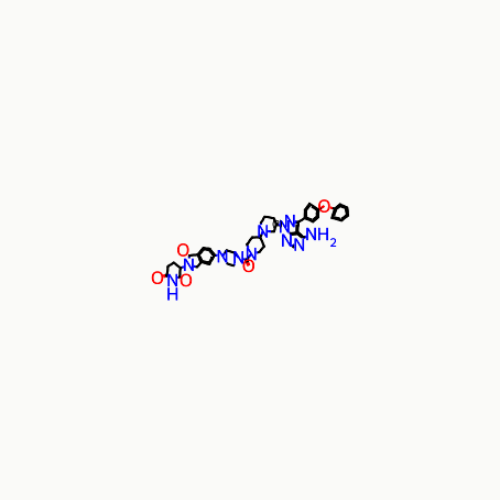 Nc1ncnc2c1c(-c1ccc(Oc3ccccc3)cc1)nn2[C@@H]1CCCN(C2CCN(C(=O)N3CCN(c4ccc5c(c4)CN(C4CCC(=O)NC4=O)C5=O)CC3)CC2)C1